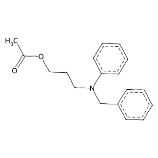 CC(=O)OCCCN(Cc1ccccc1)c1ccccc1